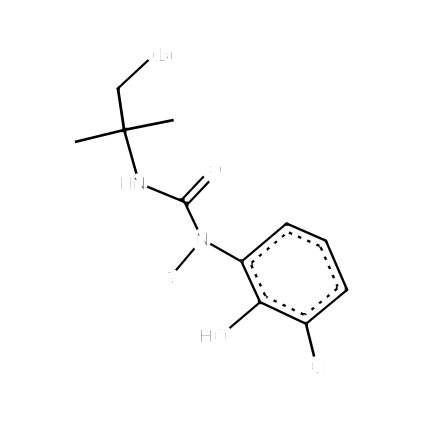 CC(C)(C)CC(C)(C)NC(=O)N(S)c1cccc(Cl)c1O